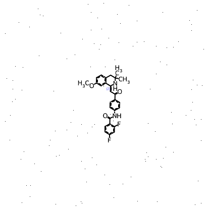 COc1ccc2c(c1)/C(=C/C(=O)c1ccc(NC(=O)c3ccc(F)cc3F)cc1)NC(C)(C)C2